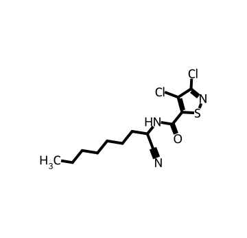 CCCCCCCC(C#N)NC(=O)c1snc(Cl)c1Cl